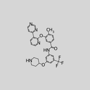 Cc1ccc(C(=O)Nc2cc(OC3CCNCC3)cc(C(F)(F)F)c2)cc1Oc1ncccc1-c1ccncn1